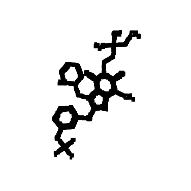 CCC(C)(O)CCn1c(=O)c2c(nc(Oc3cccc(OC(F)(F)F)c3)n2CC2C=CC=CN2)n(C)c1=O